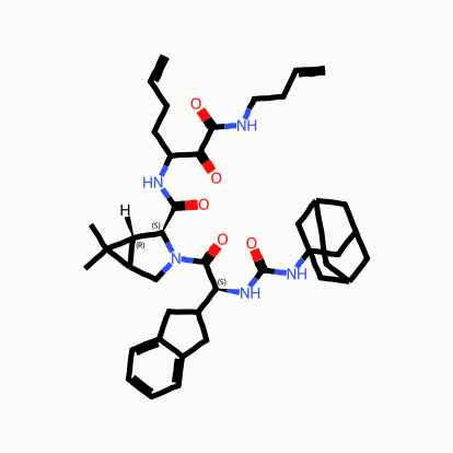 C=CCCNC(=O)C(=O)C(CCC=C)NC(=O)[C@@H]1[C@@H]2C(CN1C(=O)[C@@H](NC(=O)NC13CC4CC(CC(C4)C1)C3)C1Cc3ccccc3C1)C2(C)C